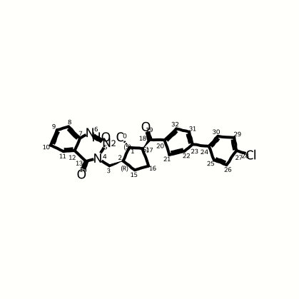 O=C(O)[C@H]1[C@H](Cn2nnc3ccccc3c2=O)CC[C@@H]1C(=O)c1ccc(-c2ccc(Cl)cc2)cc1